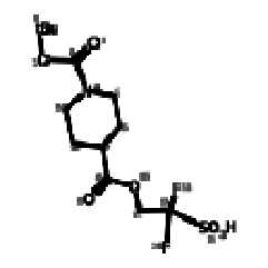 CC(C)(C)OC(=O)N1CCC(C(=O)OCC(F)(F)S(=O)(=O)O)CC1